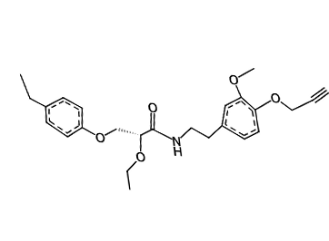 C#CCOc1ccc(CCNC(=O)[C@@H](COc2ccc(CC)cc2)OCC)cc1OC